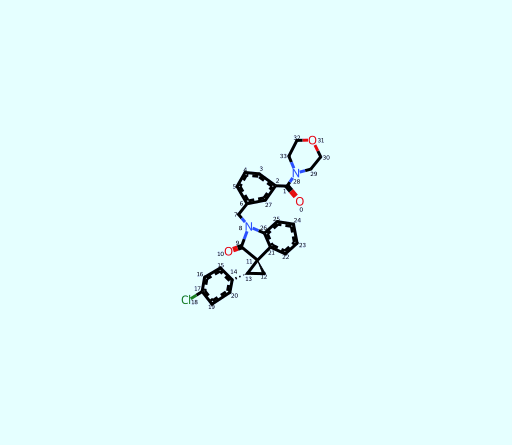 O=C(c1cccc(CN2C(=O)[C@]3(C[C@@H]3c3ccc(Cl)cc3)c3ccccc32)c1)N1CCOCC1